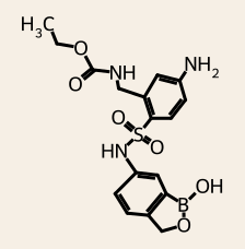 CCOC(=O)NCc1cc(N)ccc1S(=O)(=O)Nc1ccc2c(c1)B(O)OC2